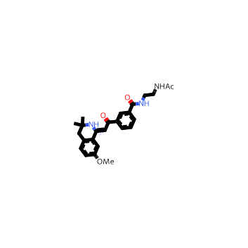 COc1ccc2c(c1)/C(=C/C(=O)c1cccc(C(=O)NCCNC(C)=O)c1)NC(C)(C)C2